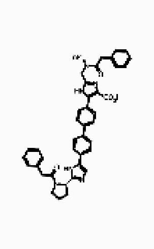 CCCN(Cc1nc(C(=O)O)c(-c2ccc(-c3ccc(-c4cnc([C@@H]5CCCN5C(=O)Cc5ccccc5)[nH]4)cc3)cc2)[nH]1)C(=O)Cc1ccccc1